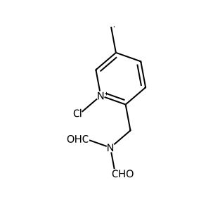 [CH2]c1ccc(CN(C=O)C=O)[n+](Cl)c1